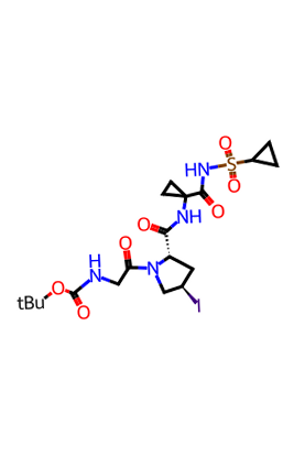 CC(C)(C)OC(=O)NCC(=O)N1C[C@H](I)C[C@H]1C(=O)NC1(C(=O)NS(=O)(=O)C2CC2)CC1